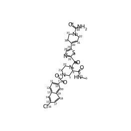 CNC(=O)C1CN(S(=O)(=O)c2ccc3cc(Cl)ccc3c2)CCN1C(=O)c1ncc(C2=CCN(C(N)=O)CC2)s1